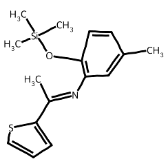 CC(=Nc1cc(C)ccc1O[Si](C)(C)C)c1cccs1